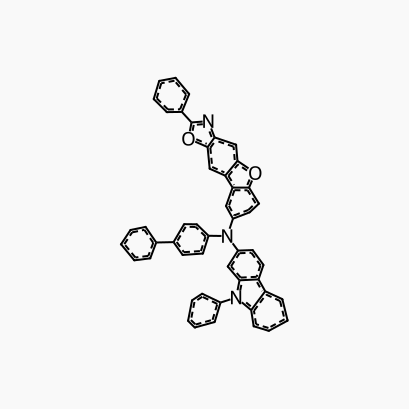 c1ccc(-c2ccc(N(c3ccc4oc5cc6nc(-c7ccccc7)oc6cc5c4c3)c3ccc4c5ccccc5n(-c5ccccc5)c4c3)cc2)cc1